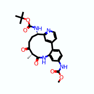 COC(=O)Nc1ccc2c(c1)NC(=O)[C@H](C)C(=O)CC[C@H](NC(=O)OC(C)(C)C)c1cc-2ccn1